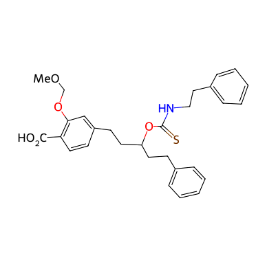 COCOc1cc(CCC(CCc2ccccc2)OC(=S)NCCc2ccccc2)ccc1C(=O)O